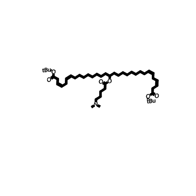 CN(C)CCCCC(=O)OC(CCCCCCCC/C=C\C/C=C\CC(=O)OC(C)(C)C)CCCCCCCC/C=C\C/C=C\CC(=O)OC(C)(C)C